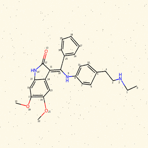 CCNCCc1ccc(NC(=C2C(=O)Nc3cc(OC)c(OC)cc32)c2ccccc2)cc1